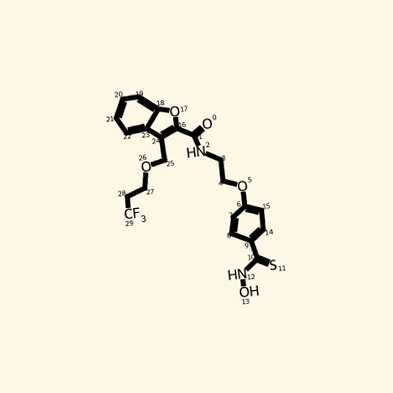 O=C(NCCOc1ccc(C(=S)NO)cc1)c1oc2ccccc2c1COCCC(F)(F)F